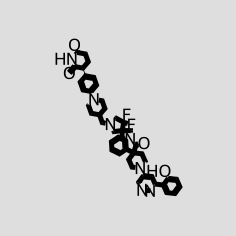 O=C1CC[C@H](c2ccc(N3CCC(CN4CC(F)(F)C5(C4)CN(C(=O)C4(c6ccccc6)CCN(c6cnnc(-c7ccccc7O)c6)CC4)C5)CC3)cc2)C(=O)N1